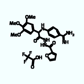 COc1cc(C(Nc2ccc(C(=N)N)cc2)C(=O)NNC(=O)c2ccco2)cc(OC)c1OC.O=C(O)C(F)(F)F